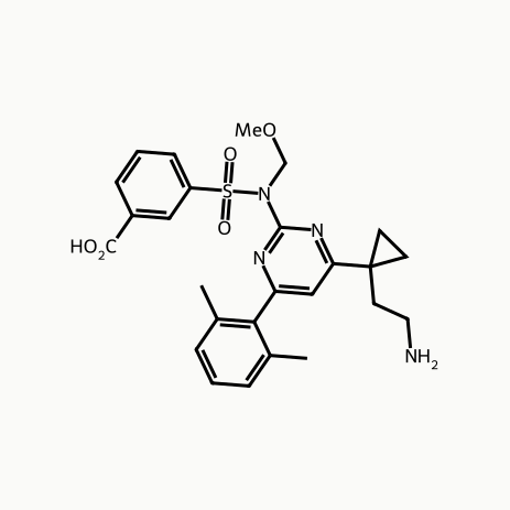 COCN(c1nc(-c2c(C)cccc2C)cc(C2(CCN)CC2)n1)S(=O)(=O)c1cccc(C(=O)O)c1